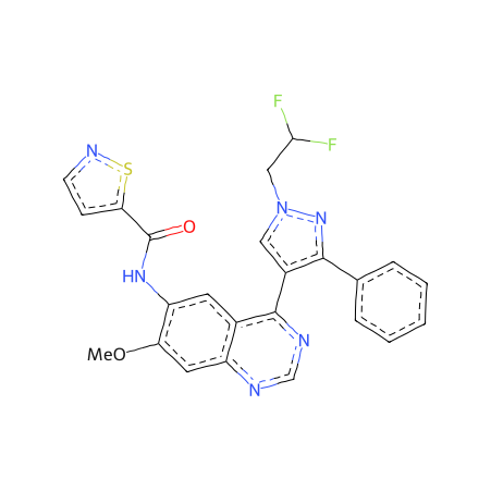 COc1cc2ncnc(-c3cn(CC(F)F)nc3-c3ccccc3)c2cc1NC(=O)c1ccns1